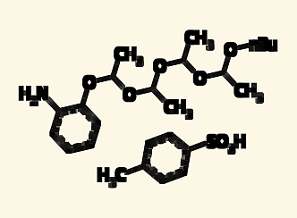 CCCCOC(C)OC(C)OC(C)OC(C)Oc1ccccc1N.Cc1ccc(S(=O)(=O)O)cc1